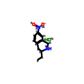 CCC1Cc2ccc([N+](=O)[O-])cc2CN1.Cl